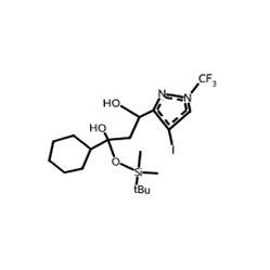 CC(C)(C)[Si](C)(C)OC(O)(CC(O)c1nn(C(F)(F)F)cc1I)C1CCCCC1